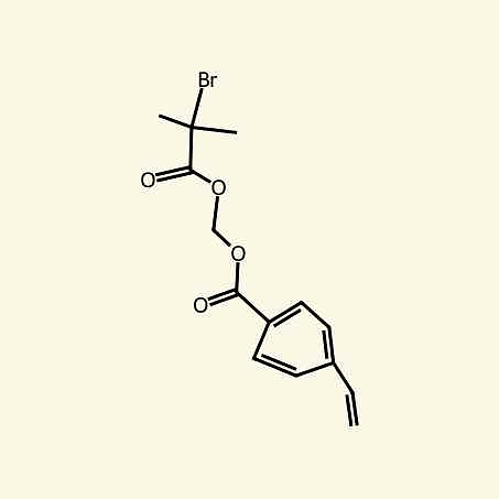 C=Cc1ccc(C(=O)OCOC(=O)C(C)(C)Br)cc1